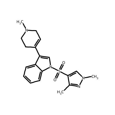 Cc1nn(C)cc1S(=O)(=O)n1cc(C2=CCN(C)CC2)c2ccccc21